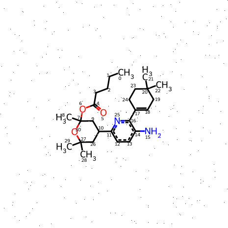 CCCCC(=O)OC1(C)CC(c2ccc(N)c(C3=CCC(C)(C)CC3)n2)CC(C)(C)O1